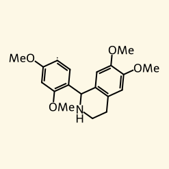 COc1[c]cc(C2NCCc3cc(OC)c(OC)cc32)c(OC)c1